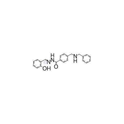 O=C(N/N=C/c1ccccc1O)c1ccc(CNCc2ccccc2)cc1